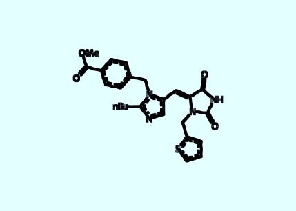 CCCCc1ncc(C=C2C(=O)NC(=O)N2Cc2cccs2)n1Cc1ccc(C(=O)OC)cc1